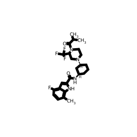 Cc1ccc(F)c2cc(C(=O)N[C@@H]3CCC[C@@H](N4CCN(C(=O)C(C)C)C(C(F)(F)F)C4)C3)[nH]c12